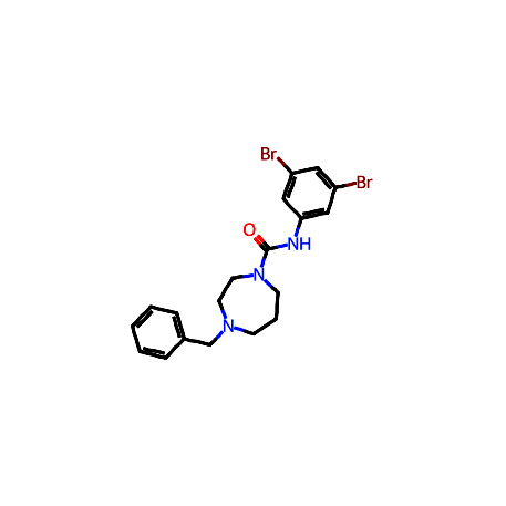 O=C(Nc1cc(Br)cc(Br)c1)N1CCCN(Cc2ccccc2)CC1